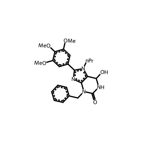 CCCn1c(-c2cc(OC)c(OC)c(OC)c2)nc2c1C(O)NC(=O)N2Cc1ccccc1